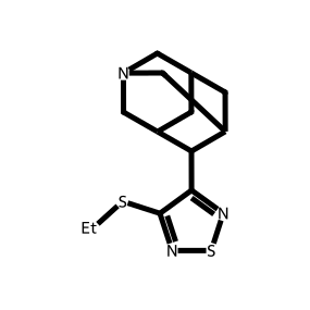 CCSc1nsnc1C1C2CC3CC1CN(C3)C2